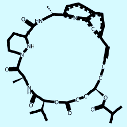 CC(C)C(=O)O[C@@H]1CC/C=C/c2ccc3ccc(nc3c2)[C@@H](C)NC(=O)[C@@H]2CCCN(N2)C(=O)[C@H](C)NC(=O)[C@H](C(C)C)OC(=O)CC1